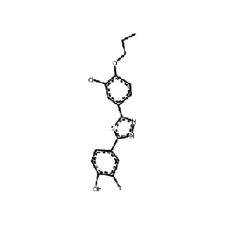 CCCOc1ccc(-c2nnc(-c3ccc(O)c(I)c3)s2)cc1Cl